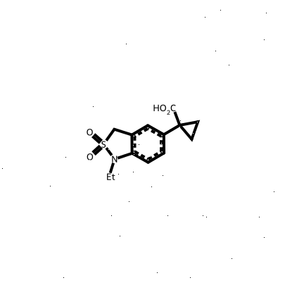 CCN1c2ccc(C3(C(=O)O)CC3)cc2CS1(=O)=O